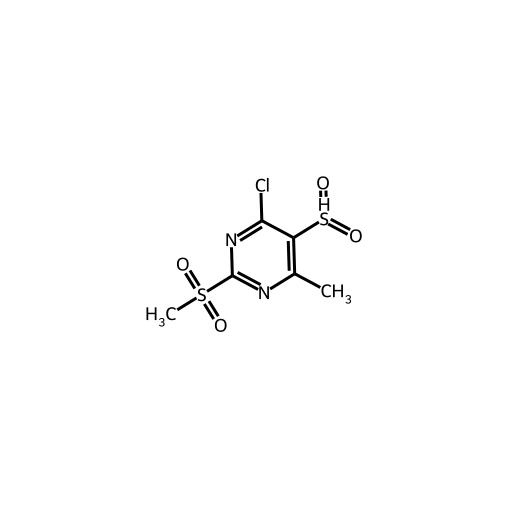 Cc1nc(S(C)(=O)=O)nc(Cl)c1[SH](=O)=O